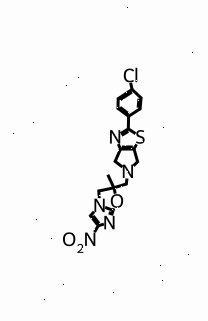 CC1(CN2Cc3nc(-c4ccc(Cl)cc4)sc3C2)Cn2cc([N+](=O)[O-])nc2O1